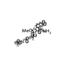 COc1cc2c(cc1OC(=O)N(C)CCOC(=O)CCCOS(C)(=O)=O)c(=O)n(CCN)c1c3cc4c(cc3ccc21)OCO4